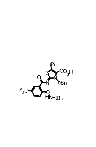 CCCCn1c(C(=O)O)c(C(C)C)sc1=NC(=O)c1cc(C(F)(F)F)ccc1ONC(C)(C)C